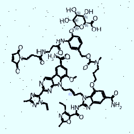 CCc1nc(C)oc1C(=O)Nc1nc2cc(C(N)=O)cc(OCCCN(C)C(=O)OCc3ccc(O[C@@H]4O[C@H](C(=O)O)[C@@H](O)[C@H](O)[C@H]4O)c(NC(=O)CCNC(=O)CCN4C(=O)C=CC4=O)c3)c2n1C/C=C/Cn1c2nc(-c3nc(C)nn3CC)ncc2c2cc(C(N)=O)cc(OC)c21